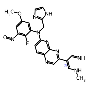 CN/C=C(\C=N)c1cnc2ccc(N(Cc3ncc[nH]3)c3cc(OC)cc(N=O)c3F)nc2n1